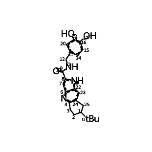 CC(C)(C)C1CCc2nc3cc(C(=O)NCc4ccc(O)c(O)c4)[nH]c3cc2C1